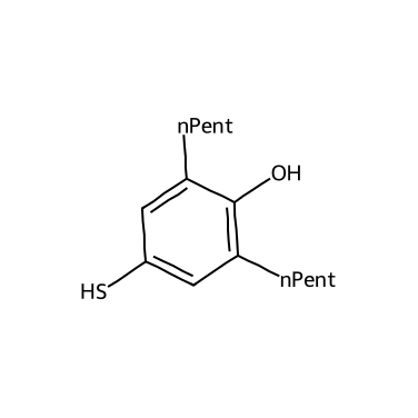 CCCCCc1cc(S)cc(CCCCC)c1O